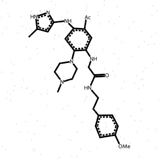 COc1ccc(CCNC(=O)CNc2cc(C(C)=O)c(Nc3cc(C)[nH]n3)cc2N2CCN(C)CC2)cc1